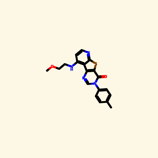 COCCNc1ccnc2sc3c(=O)n(-c4ccc(C)cc4)cnc3c12